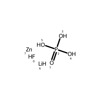 F.O=P(O)(O)O.[LiH].[Zn]